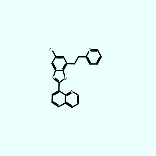 Clc1cc(CCc2ccccn2)c2oc(-c3cccc4cccnc34)nc2c1